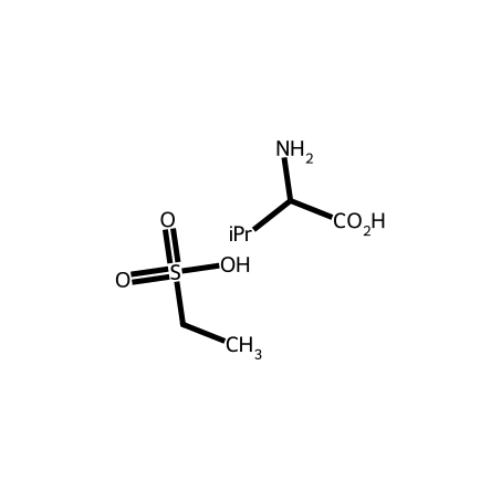 CC(C)C(N)C(=O)O.CCS(=O)(=O)O